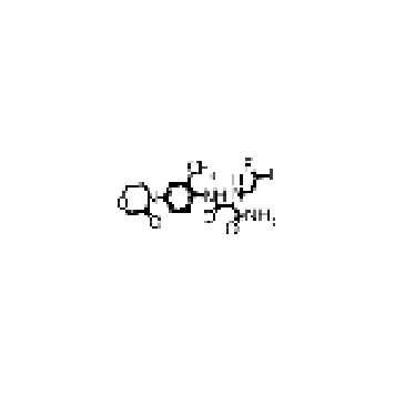 NC(=O)[C@@H](NCC(F)F)C(=O)Nc1ccc(N2CCOCC2=O)cc1C(F)(F)F